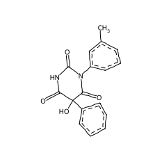 Cc1cccc(N2C(=O)NC(=O)C(O)(c3ccccc3)C2=O)c1